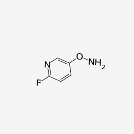 NOc1ccc(F)nc1